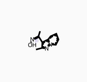 C/C(=N/O)c1c(C)nn2ccccc12